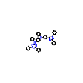 c1ccc(-c2cc(-c3ccc(-n4c5ccccc5c5c6c7ccccc7n(-c7nc(-c8ccccc8)nc(-c8ccccc8)n7)c6ccc54)cc3)nc(-c3ccccc3)n2)cc1